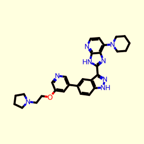 c1cc(N2CCCCC2)c2nc(-c3n[nH]c4ccc(-c5cncc(OCCN6CCCC6)c5)cc34)[nH]c2n1